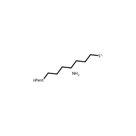 CCCCCCCCCCCC[S+].N